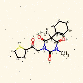 CN1C(=O)N(CC(=O)C2CCCS2)C(=O)C(C)(C2=CCCCC2)C1=O